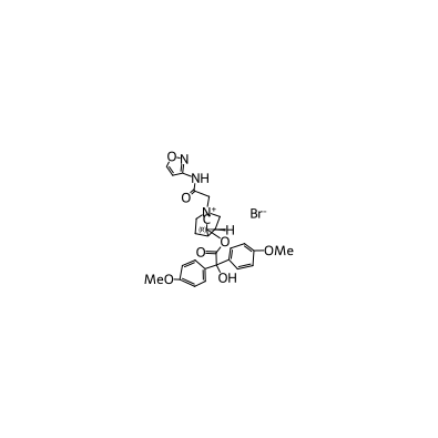 COc1ccc(C(O)(C(=O)O[C@H]2C[N+]3(CC(=O)Nc4ccon4)CCC2CC3)c2ccc(OC)cc2)cc1.[Br-]